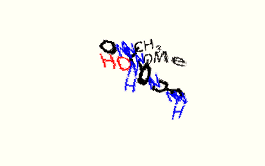 COc1cc(N2CCC(c3cc[nH]n3)CC2)ccc1C1=Nc2c(C)nn(C3CCCCC3)c2C(O)N1